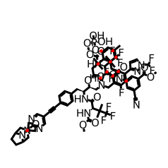 COC(=O)N[C@H](C(=O)N[C@@H](Cc1ccc(C#Cc2cnc(N3CC4CCC(C3)N4C3COC3)nc2)cc1)[C@H](CN(Cc1c(F)cc(-c2ccn(C(F)F)n2)cc1F)NC(=O)[C@@H](NC(=O)OC)C(C)(C)C(F)(F)F)OC(=O)CC(C)(C)c1c(CC(=O)Nc2cc(C#N)cc(C(=O)OC)c2)cc(C)cc1OP(=O)(O)O)C(C)(C)C(F)(F)F